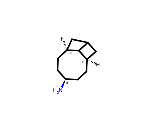 N[C@@H]1CC[C@@H]2CC3C[C@H](CC1)C32